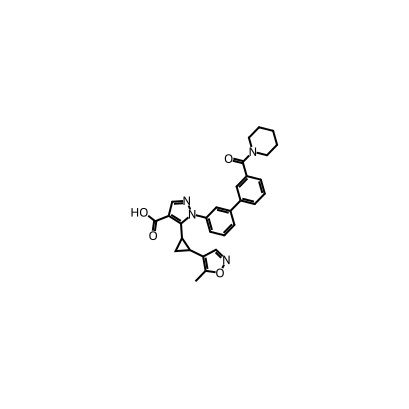 Cc1oncc1C1CC1c1c(C(=O)O)cnn1-c1cccc(-c2cccc(C(=O)N3CCCCC3)c2)c1